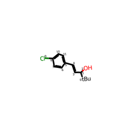 CC(C)(C)C(O)C=Cc1ccc(Cl)cc1